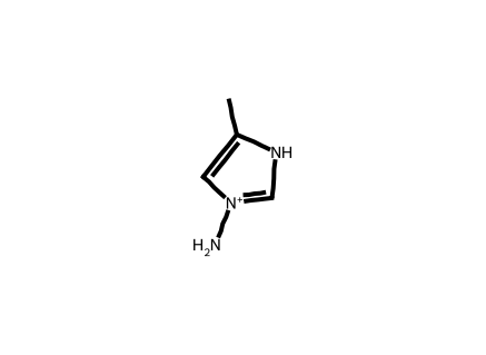 Cc1c[n+](N)c[nH]1